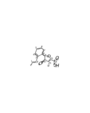 CC=Cc1ccccc1C1OC(C(=O)O)=C(C)C1=O